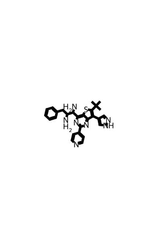 CC(C)(C)c1sc2c(C(N)C(N)Cc3ccccc3)nc(-c3ccncc3)nc2c1-c1cn[nH]c1